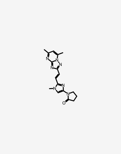 Cc1cc(C)n2nc(/C=C/c3nc(N4CCCC4=O)cn3C)nc2n1